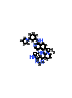 CNc1cc(-c2cccnc2Nc2c(C)ccc3c(Nc4cccc(N5CCCC5)c4)nccc23)ncn1